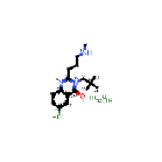 CNCCCc1nc2ccc(Cl)cc2c(=O)n1CC(C)(C)C.Cl.Cl